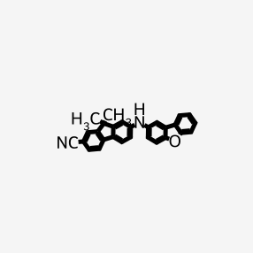 CC1(C)c2cc(C#N)ccc2-c2ccc(Nc3ccc4oc5ccccc5c4c3)cc21